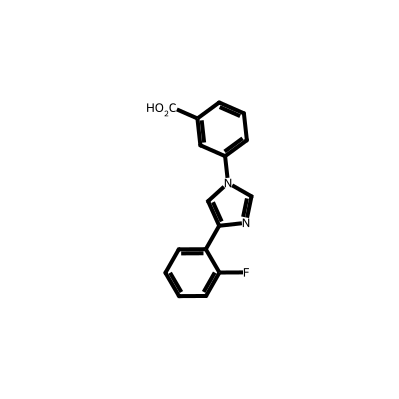 O=C(O)c1cccc(-n2cnc(-c3ccccc3F)c2)c1